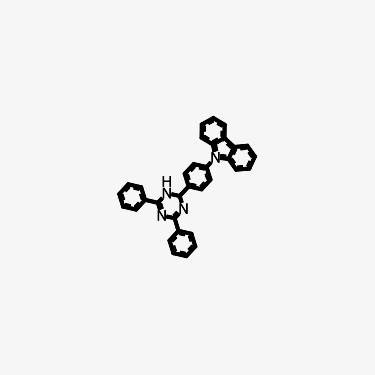 c1ccc(C2=NC(c3ccc(-n4c5ccccc5c5ccccc54)cc3)NC(c3ccccc3)=N2)cc1